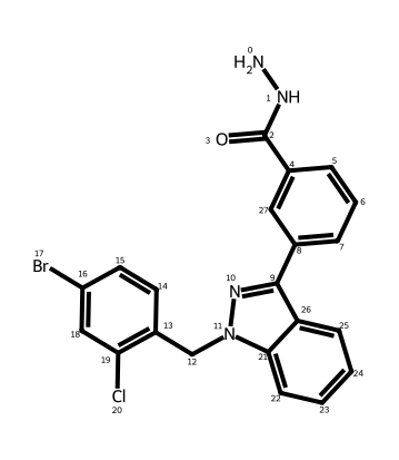 NNC(=O)c1cccc(-c2nn(Cc3ccc(Br)cc3Cl)c3ccccc23)c1